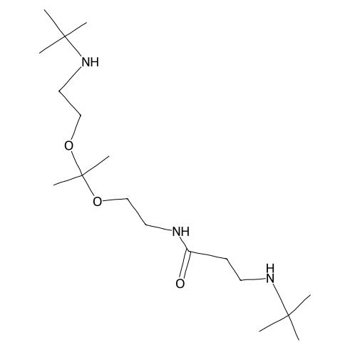 CC(C)(C)NCCOC(C)(C)OCCNC(=O)CCNC(C)(C)C